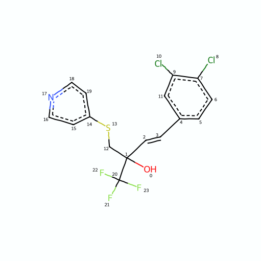 OC(/C=C/c1ccc(Cl)c(Cl)c1)(CSc1ccncc1)C(F)(F)F